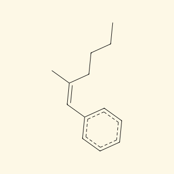 CCCCC(C)=Cc1ccccc1